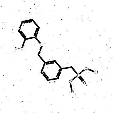 CCOP(=O)(Cc1cccc(COc2ccccc2C=O)c1)OCC